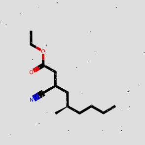 CCCC[C@@H](C)CC(C#N)CC(=O)OCC